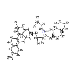 C=Cc1ccc(CCC(CN(C)CC2CCC2C(/C=C/CC(C)C)CN2CCN3CCCCC3C2)c2ccc(C)cc2CCC)cc1